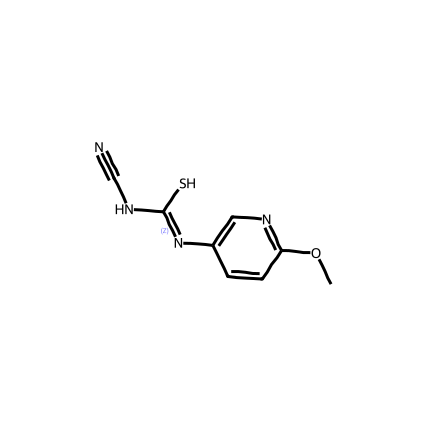 COc1ccc(/N=C(\S)NC#N)cn1